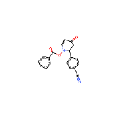 N#Cc1ccc(C2CC(=O)C=CN2OC(=O)c2ccccc2)cc1